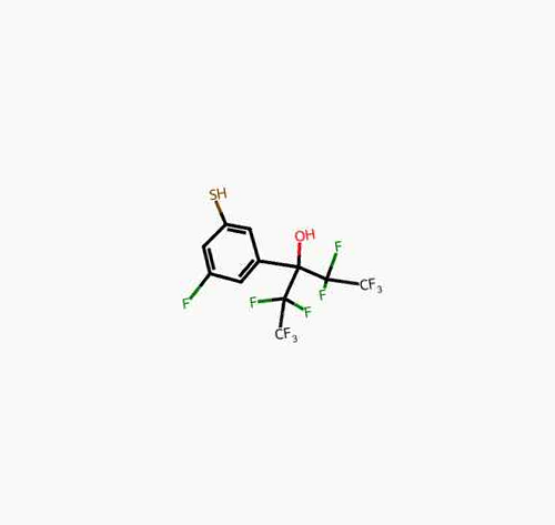 OC(c1cc(F)cc(S)c1)(C(F)(F)C(F)(F)F)C(F)(F)C(F)(F)F